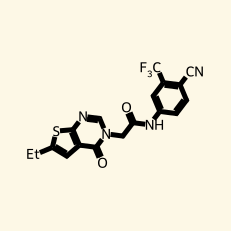 CCc1cc2c(=O)n(CC(=O)Nc3ccc(C#N)c(C(F)(F)F)c3)cnc2s1